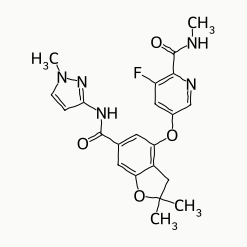 CNC(=O)c1ncc(Oc2cc(C(=O)Nc3ccn(C)n3)cc3c2CC(C)(C)O3)cc1F